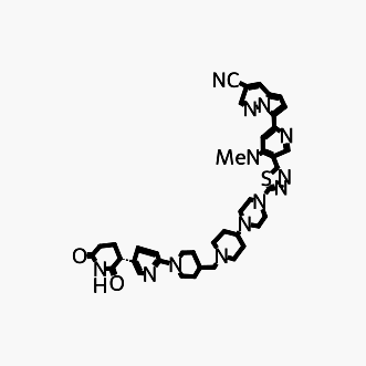 CNc1cc(-c2ccc3cc(C#N)cnn23)ncc1-c1nnc(N2CCN(C3CCN(CC4CCN(c5ccc([C@H]6CCC(=O)NC6=O)cn5)CC4)CC3)CC2)s1